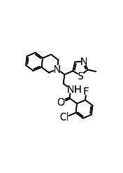 Cc1ncc(C(CNC(=O)C2C(Cl)=CC=CC2F)N2CCc3ccccc3C2)s1